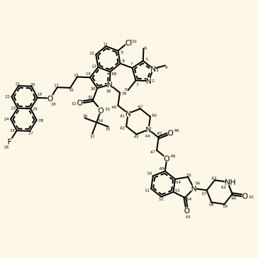 Cc1nn(C)c(C)c1-c1c(Cl)ccc2c(CCCOc3cccc4cc(F)ccc34)c(C(=O)OC(C)(C)C)n(CCN3CCN(C(=O)COc4cccc5c4CN(C4CCC(=O)NC4)C5=O)CC3)c12